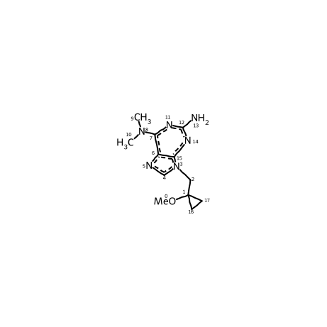 COC1(Cn2cnc3c(N(C)C)nc(N)nc32)CC1